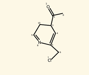 CC(=O)C1C=C(CCl)N=CC1